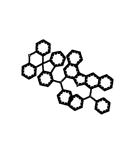 c1ccc(N(c2ccccc2)c2c3ccccc3cc3c2sc2c(N(c4ccccc4)c4cccc5c4-c4ccccc4C54c5ccccc5Oc5ccccc54)cc4ccccc4c23)cc1